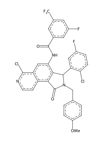 COc1ccc(CN2C(=O)c3c(c(NC(=O)c4cc(F)cc(C(F)(F)F)c4)cc4c(Cl)nccc34)C2c2cc(F)ccc2Cl)cc1